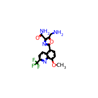 COc1ccc(-c2nc(C(N)=O)c(CN)o2)c2ccc(C(F)(F)F)nc12